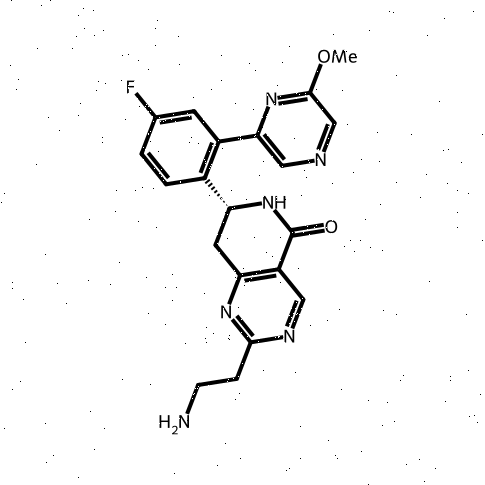 COc1cncc(-c2cc(F)ccc2[C@H]2Cc3nc(CCN)ncc3C(=O)N2)n1